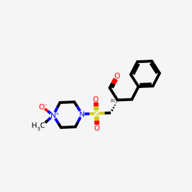 C[N+]1([O-])CCN(S(=O)(=O)C[C@H](C=O)Cc2ccccc2)CC1